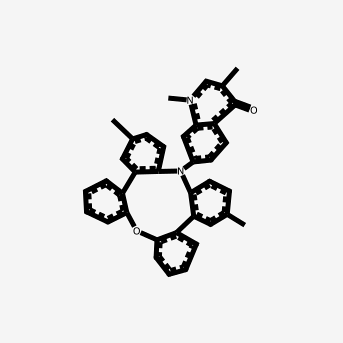 Cc1ccc2c(c1)-c1ccccc1Oc1ccccc1-c1cc(C)ccc1N2c1ccc2c(=O)c(C)cn(C)c2c1